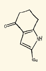 CC(C)(C)c1cc2c([nH]1)CCCC2=O